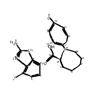 Nc1nc2c(F)cccc2s1.O=C(O)[C@@H]1CCCCCN1c1ccc(Cl)cc1